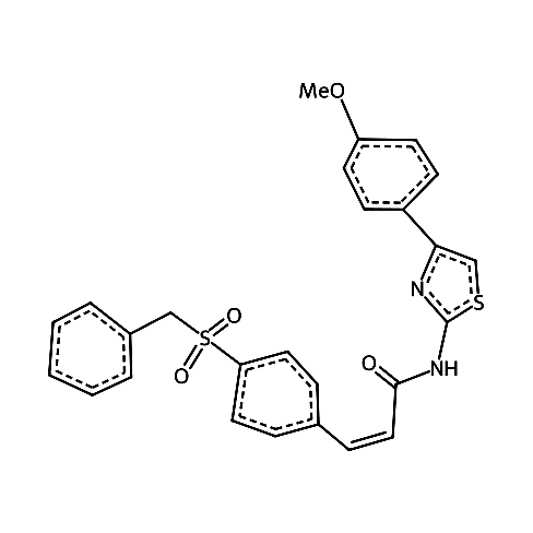 COc1ccc(-c2csc(NC(=O)/C=C\c3ccc(S(=O)(=O)Cc4ccccc4)cc3)n2)cc1